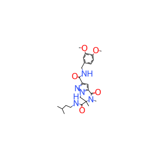 COc1ccc(CNC(=O)c2cc3n(n2)CC(C)(C(=O)NCCC(C)C)N(C)C3=O)cc1OC